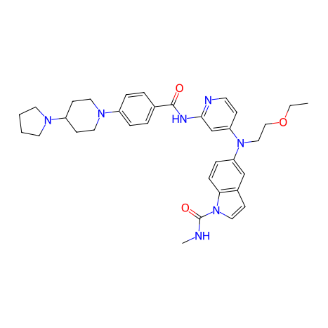 CCOCCN(c1ccnc(NC(=O)c2ccc(N3CCC(N4CCCC4)CC3)cc2)c1)c1ccc2c(ccn2C(=O)NC)c1